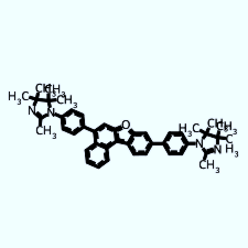 CC1=NC(C)(C)C(C)(C)N1c1ccc(-c2ccc3c(c2)oc2cc(-c4ccc(N5C(C)=NC(C)(C)C5(C)C)cc4)c4ccccc4c23)cc1